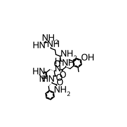 Cc1cc(O)cc(C)c1C[C@H](NC(=O)[C@H](N)CCCNC(=N)N)C(=O)N[C@@H](Cc1cnc[nH]1)C(=O)N[C@@H](Cc1ccccc1)C(N)=O